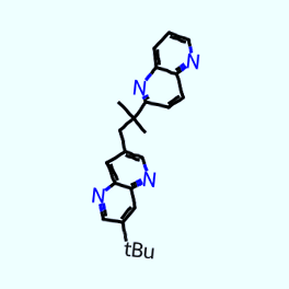 CC(C)(C)c1cnc2cc(CC(C)(C)c3ccc4ncccc4n3)cnc2c1